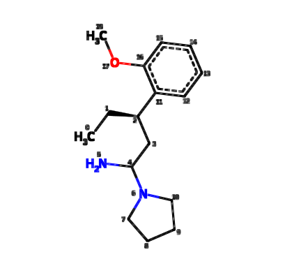 CC[C@H](CC(N)N1CCCC1)c1ccccc1OC